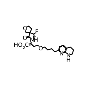 O=C(O)[C@H](CCOCCCCc1ccc2c(n1)NCCC2)NC(=O)C1(C(F)F)CCOC1